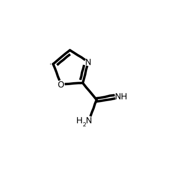 N=C(N)c1nc[c]o1